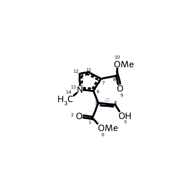 COC(=O)/C(=C\O)c1c(C(=O)OC)ccn1C